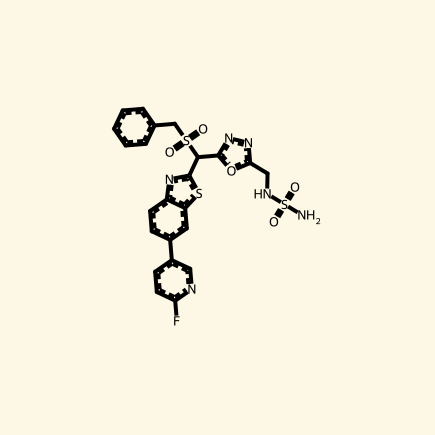 NS(=O)(=O)NCc1nnc(C(c2nc3ccc(-c4ccc(F)nc4)cc3s2)S(=O)(=O)Cc2ccccc2)o1